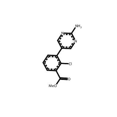 COC(=O)c1cccc(-c2cnc(N)nc2)c1Cl